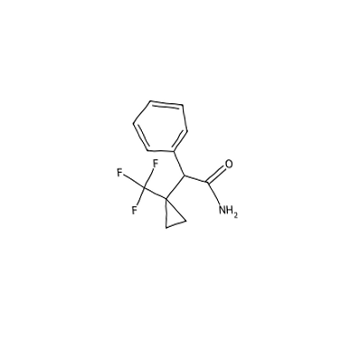 NC(=O)C(c1ccccc1)C1(C(F)(F)F)CC1